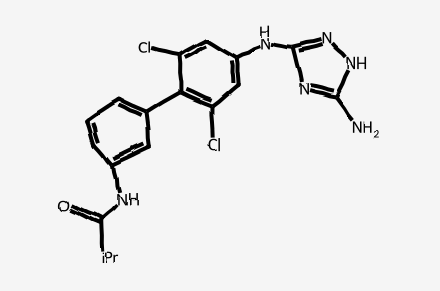 CC(C)C(=O)Nc1cccc(-c2c(Cl)cc(Nc3n[nH]c(N)n3)cc2Cl)c1